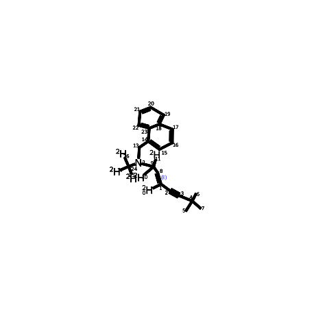 [2H]/C(C#CC(C)(C)C)=C\C([2H])([2H])N(Cc1cccc2ccccc12)C([2H])([2H])[2H]